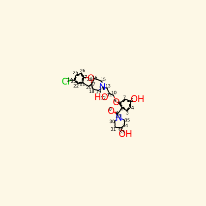 O=C(c1ccc(O)cc1OC[C@H](O)CN1CCC2(CC1)Cc1cc(Cl)ccc1O2)N1CCC(O)CC1